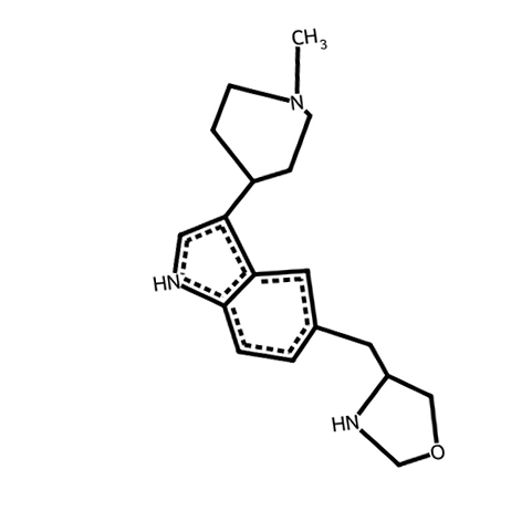 CN1CCC(c2c[nH]c3ccc(CC4COCN4)cc23)CC1